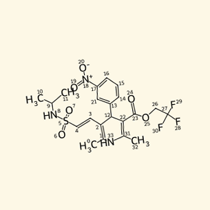 CC1=C(C=CS(=O)(=O)NC(C)C)C(c2cccc([N+](=O)[O-])c2)C(C(=O)OCC(F)(F)F)=C(C)N1